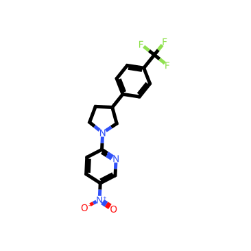 O=[N+]([O-])c1ccc(N2CCC(c3ccc(C(F)(F)F)cc3)C2)nc1